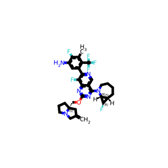 C=C1CN2CCC[C@@]2(COc2nc(N3CCCC[C@@H]4[C@@H](F)[C@@H]43)c3cnc(-c4cc(N)c(F)c(C)c4C(F)(F)F)c(F)c3n2)C1